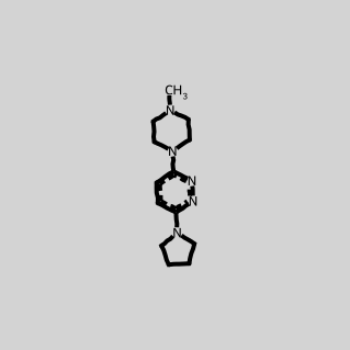 CN1CCN(c2ccc(N3CCCC3)nn2)CC1